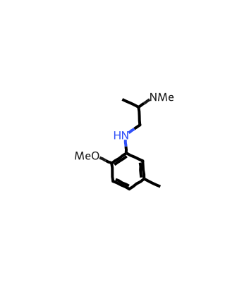 CNC(C)CNc1cc(C)ccc1OC